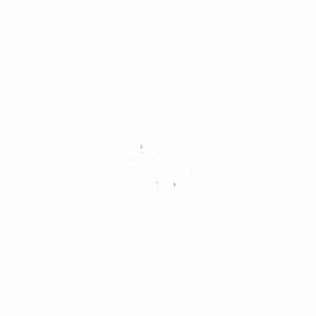 CCCC(CC)(Pc1ccc(C)cc1CN(C)C)c1cc(C)cc(C(C)(C)C)c1OCOC